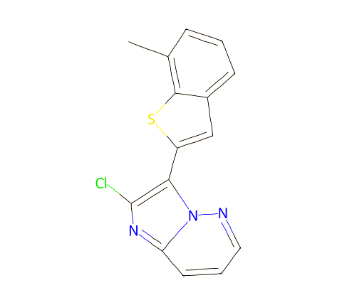 Cc1cccc2cc(-c3c(Cl)nc4cccnn34)sc12